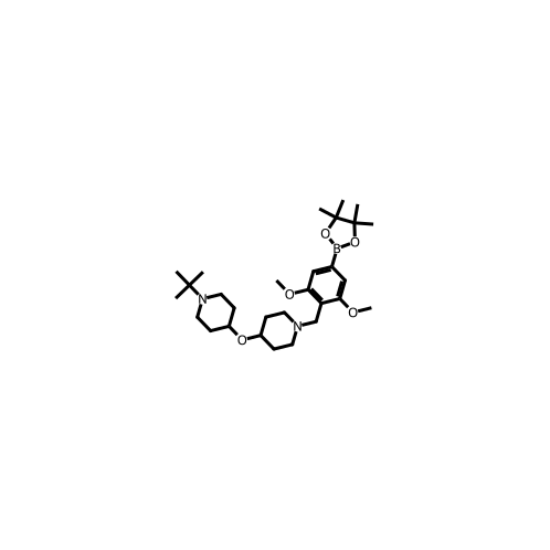 COc1cc(B2OC(C)(C)C(C)(C)O2)cc(OC)c1CN1CCC(OC2CCN(C(C)(C)C)CC2)CC1